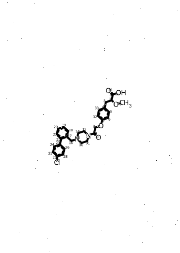 COC(Cc1ccc(OCC(=O)N2CCN(Cc3ccccc3-c3ccc(Cl)cc3)CC2)cc1)C(=O)O